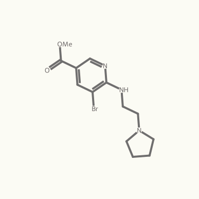 COC(=O)c1cnc(NCCN2CCCC2)c(Br)c1